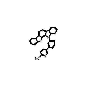 N#Cc1ccc(-c2cccc(-n3c4ccccc4c4ccc5c6ccccc6oc5c43)c2)cn1